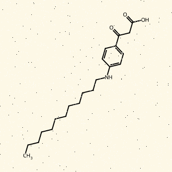 CCCCCCCCCCCCNc1ccc(C(=O)CC(=O)O)cc1